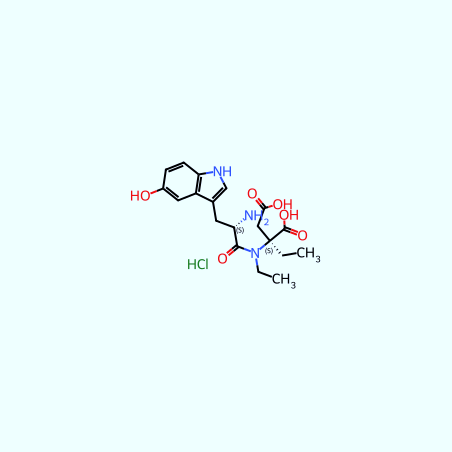 CCN(C(=O)[C@@H](N)Cc1c[nH]c2ccc(O)cc12)[C@@](CC)(CC(=O)O)C(=O)O.Cl